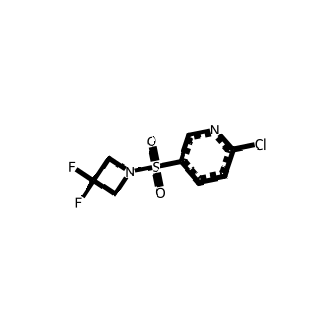 O=S(=O)(c1ccc(Cl)nc1)N1CC(F)(F)C1